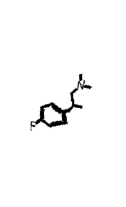 CC(CN(C)C)c1ccc(F)cc1